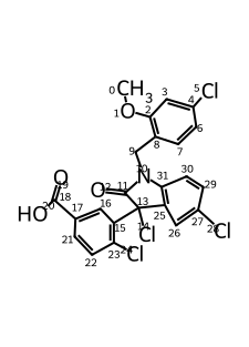 COc1cc(Cl)ccc1CN1C(=O)C(Cl)(c2cc(C(=O)O)ccc2Cl)c2cc(Cl)ccc21